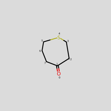 O=C1[CH]CSCCC1